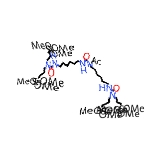 CO[Si](CCCN(CCC[Si](OC)(OC)OC)C(=O)NCCCCCCNC(=O)N(CCCCCCNC(=O)N(CCC[Si](OC)(OC)OC)CCC[Si](OC)(OC)OC)C(C)=O)(OC)OC